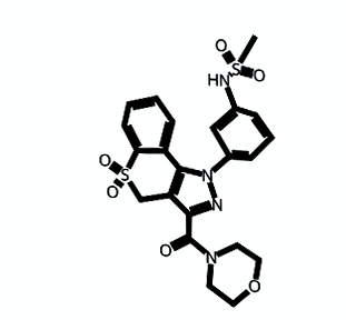 CS(=O)(=O)Nc1cccc(-n2nc(C(=O)N3CCOCC3)c3c2-c2ccccc2S(=O)(=O)C3)c1